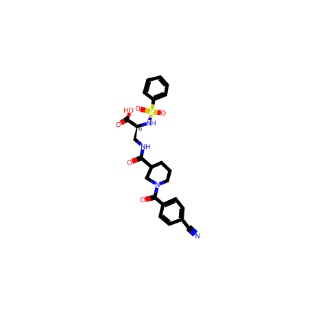 N#Cc1ccc(C(=O)N2CCCC(C(=O)NC[C@H](NS(=O)(=O)c3ccccc3)C(=O)O)C2)cc1